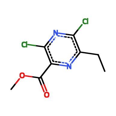 CCc1nc(C(=O)OC)c(Cl)nc1Cl